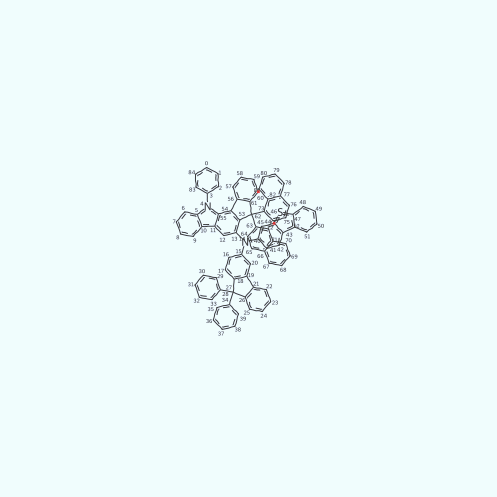 c1ccc(-n2c3ccccc3c3cc(N(c4ccc5c(c4)-c4ccccc4C5(c4ccccc4)c4ccccc4)c4ccc5c(c4)sc4ccccc45)c4c(c32)-c2ccccc2C4(c2ccc3ccccc3c2)c2cccc3ccccc23)cc1